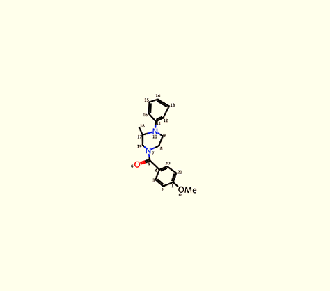 COc1ccc(C(=O)N2CCN(c3ccccc3)C(C)C2)cc1